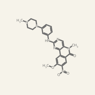 COc1cc2c(cc1[N+](=O)[O-])c(=O)n(C)c1cnc(Nc3cccc(N4CCN(C)CC4)c3)nc21